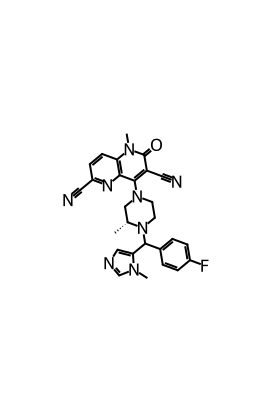 C[C@@H]1CN(c2c(C#N)c(=O)n(C)c3ccc(C#N)nc23)CCN1C(c1ccc(F)cc1)c1cncn1C